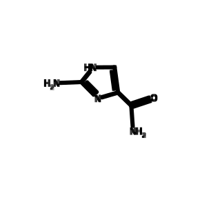 NC(=O)c1c[nH]c(N)n1